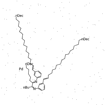 CCCCCCCCCCCCCCCCCCCCCCCCCC=Cc1cccc(N=C(CCCC)C(CCCCCCCCCCCCCCC)=Nc2cccc(C=CCCCCCCCCCCCCCCCCCCCCCCCCC)c2)c1.[Pd]